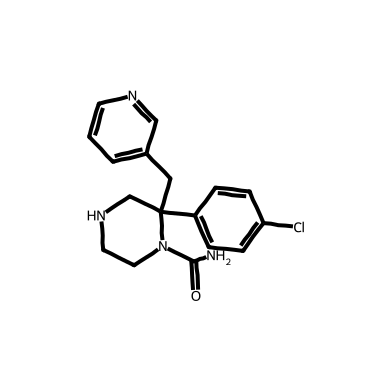 NC(=O)N1CCNCC1(Cc1cccnc1)c1ccc(Cl)cc1